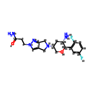 NC(=O)CCn1cc2c(n1)CN([C@H]1CO[C@H](c3cc(F)ccc3F)[C@@H](N)C1)C2